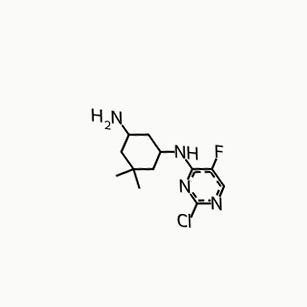 CC1(C)CC(N)CC(Nc2nc(Cl)ncc2F)C1